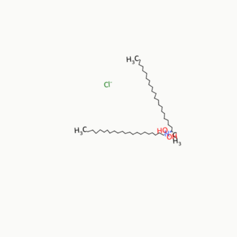 CCCCCCCCCCCCCCCCCCCCCCC(C)[N+](O)(O)CCCCCCCCCCCCCCCCCCCCCC.[Cl-]